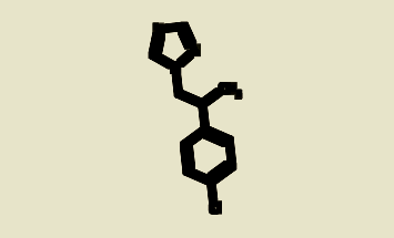 CC(Cn1cncn1)c1ccc(Cl)cc1